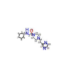 O=C(CNc1ccccc1)N1CCN(CCc2cnccn2)CC1